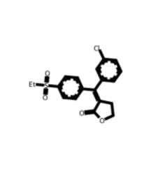 CCS(=O)(=O)c1ccc(C(=C2CCOC2=O)c2cccc(Cl)c2)cc1